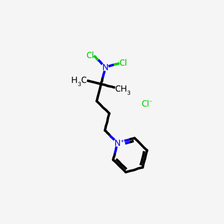 CC(C)(CCC[n+]1ccccc1)N(Cl)Cl.[Cl-]